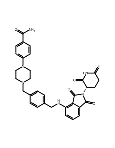 NC(=O)c1ccc(N2CCN(Cc3ccc(CNc4cccc5c4C(=O)N([C@H]4CCC(=O)NC4=O)C5=O)cc3)CC2)nc1